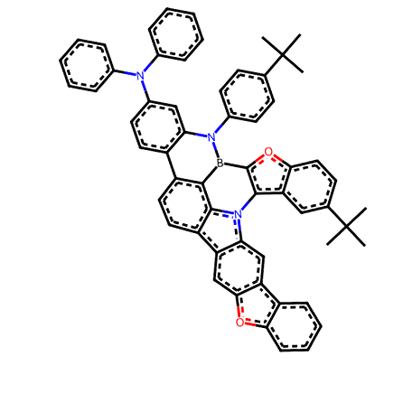 CC(C)(C)c1ccc(N2B3c4oc5ccc(C(C)(C)C)cc5c4-n4c5cc6c(cc5c5ccc(c3c54)-c3ccc(N(c4ccccc4)c4ccccc4)cc32)oc2ccccc26)cc1